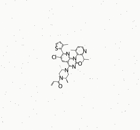 C=CC(=O)N1C[C@H](C)N(c2nc(=O)n(-c3c(C)ccnc3C(C)C)c3nc(-c4sccc4C)c(Cl)cc23)C[C@H]1C